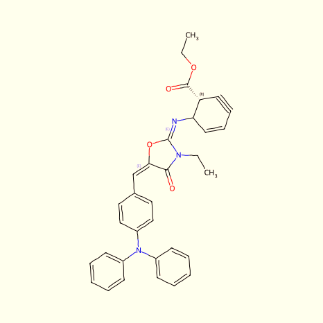 CCOC(=O)[C@@H]1C#CC=CC1/N=C1/O/C(=C/c2ccc(N(c3ccccc3)c3ccccc3)cc2)C(=O)N1CC